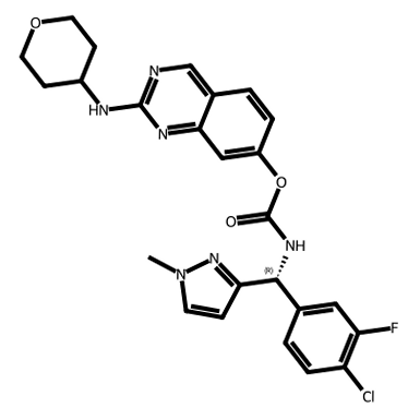 Cn1ccc([C@H](NC(=O)Oc2ccc3cnc(NC4CCOCC4)nc3c2)c2ccc(Cl)c(F)c2)n1